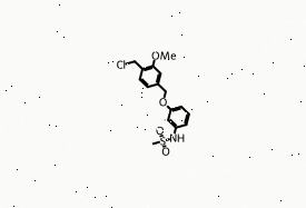 COc1cc(COc2[c]c(NS(C)(=O)=O)ccc2)ccc1CCl